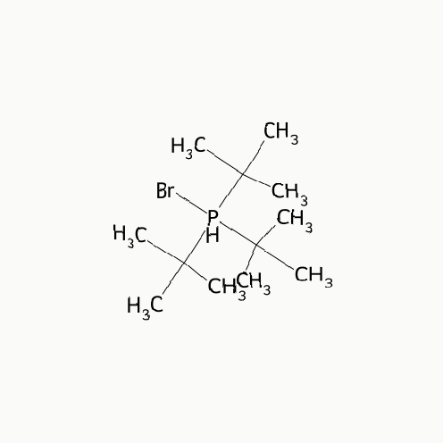 CC(C)(C)[PH](Br)(C(C)(C)C)C(C)(C)C